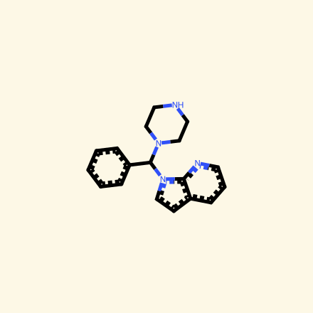 c1ccc(C(N2CCNCC2)n2ccc3cccnc32)cc1